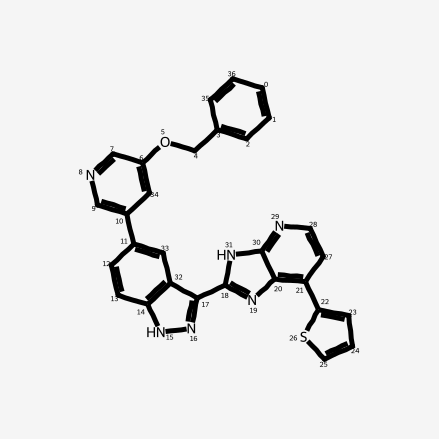 c1ccc(COc2cncc(-c3ccc4[nH]nc(-c5nc6c(-c7cccs7)ccnc6[nH]5)c4c3)c2)cc1